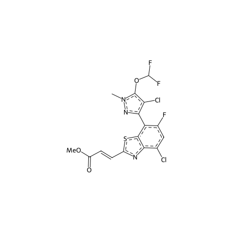 COC(=O)C=Cc1nc2c(Cl)cc(F)c(-c3nn(C)c(OC(F)F)c3Cl)c2s1